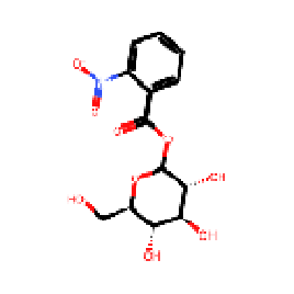 O=C(OC1O[C@H](CO)[C@@H](O)[C@H](O)[C@H]1O)c1ccccc1[N+](=O)[O-]